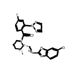 C[C@@H]1CCCN(C(=O)c2ccc(F)cc2-n2nccn2)[C@@H]1CNc1nc2ccc(Cl)cc2o1